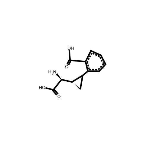 N[C@H](C(=O)O)[C@H]1CC1c1ccccc1C(=O)O